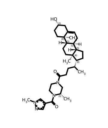 CC(CCC(=O)N1CCN(C(=O)c2cnn(C)c2)[C@@H](C)C1)[C@H]1CC[C@H]2[C@@H]3CC=C4C[C@@H](O)CC[C@]4(C)[C@H]3CC[C@]12C